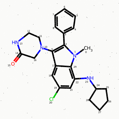 Cn1c(-c2ccccc2)c(N2CCNC(=O)C2)c2cc(Cl)cc(NC3CCCC3)c21